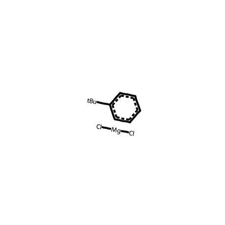 [CH2]C(C)(C)c1ccccc1.[Cl][Mg][Cl]